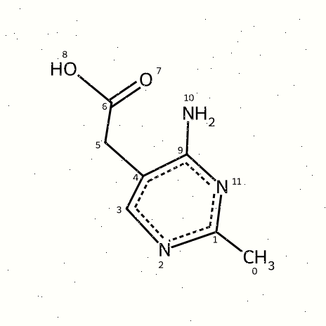 Cc1ncc(CC(=O)O)c(N)n1